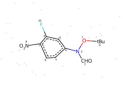 CC(C)(C)ON(C=O)c1ccc([N+](=O)[O-])c(F)c1